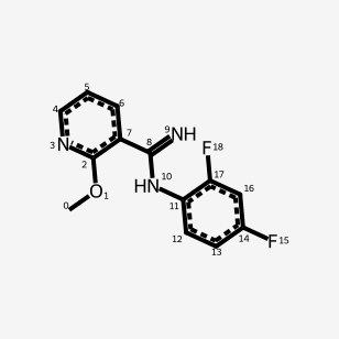 COc1ncccc1C(=N)Nc1ccc(F)cc1F